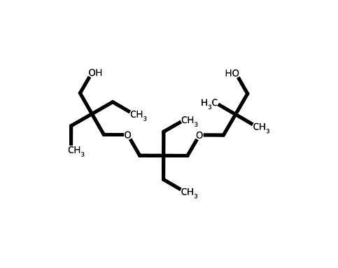 CCC(CC)(CO)COCC(CC)(CC)COCC(C)(C)CO